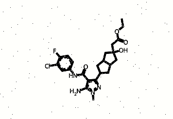 CCOC(=O)CC1(O)CC2CC(c3nn(C)c(N)c3C(=O)Nc3ccc(F)c(Cl)c3)CC2C1